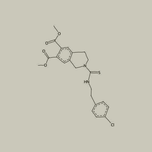 COC(=O)c1cc2c(cc1C(=O)OC)CN(C(=S)NCCc1ccc(Cl)cc1)CC2